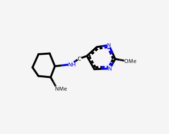 CNC1CCCCC1NCc1cnc(OC)nc1